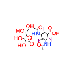 CC(=O)Nc1c(I)c(NC(C)=O)c(I)c(C(=O)O)c1I.O=C1O[C@H]([C@@H](O)CO)C(O)=C1O